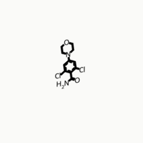 NC(=O)c1c(Cl)cc(N2CCOCC2)cc1Cl